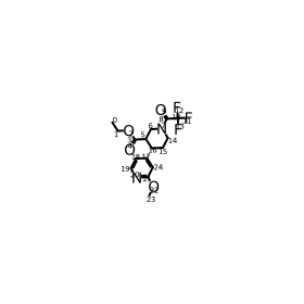 CCOC(=O)C1CN(C(=O)C(F)(F)F)CC[C@@H]1c1ccnc(OC)c1